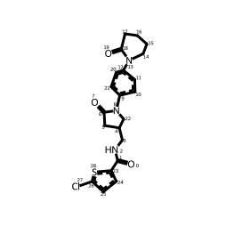 O=C(NCC1CC(=O)N(c2ccc(N3CCCCC3=O)cc2)C1)c1ccc(Cl)s1